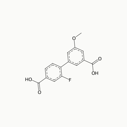 COc1cc(C(=O)O)cc(-c2ccc(C(=O)O)cc2F)c1